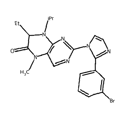 CCC1C(=O)N(C)c2cnc(-n3ccnc3-c3cccc(Br)c3)nc2N1C(C)C